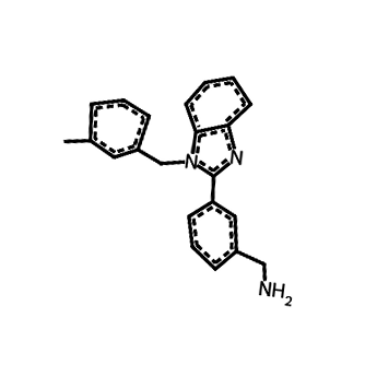 Cc1cccc(Cn2c(-c3cccc(CN)c3)nc3ccccc32)c1